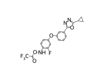 O=C(ONc1ccc(Oc2cccc(-c3nnc(C4CC4)o3)c2)cc1F)C(F)(F)F